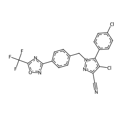 N#Cc1nn(Cc2ccc(-c3noc(C(F)(F)F)n3)cc2)c(-c2ccc(Cl)cc2)c1Cl